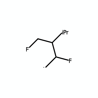 [CH2]C(F)C(CF)C(C)C